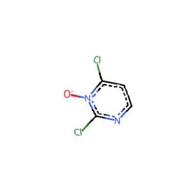 [O-][n+]1c(Cl)ccnc1Cl